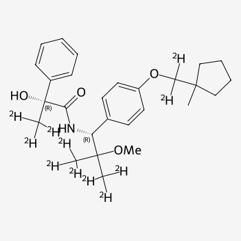 [2H]C([2H])([2H])C(OC)([C@H](NC(=O)[C@](O)(c1ccccc1)C([2H])([2H])[2H])c1ccc(OC([2H])([2H])C2(C)CCCC2)cc1)C([2H])([2H])[2H]